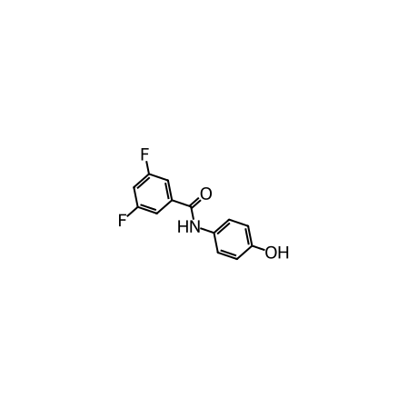 O=C(Nc1ccc(O)cc1)c1cc(F)cc(F)c1